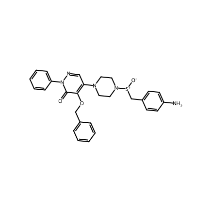 Nc1ccc(C[S+]([O-])N2CCN(c3cnn(-c4ccccc4)c(=O)c3OCc3ccccc3)CC2)cc1